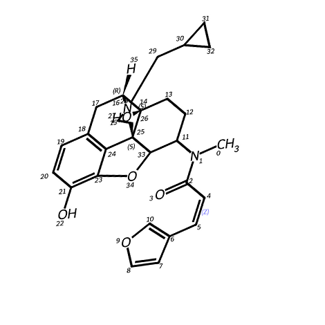 CN(C(=O)/C=C\c1ccoc1)C1CC[C@@]2(O)[C@H]3Cc4ccc(O)c5c4[C@@]2(CCN3CC2CC2)C1O5